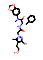 Cc1c(CCO)c(C(C)C)nn1CC(=O)N[C@@H](Cc1ccccc1)C(=O)N(C)c1ccc2c(c1)OCO2